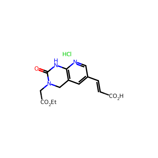 CCOC(=O)CN1Cc2cc(C=CC(=O)O)cnc2NC1=O.Cl